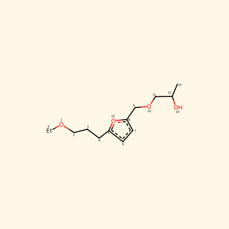 CCOCCCc1ccc(COCC(C)O)o1